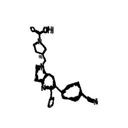 N#Cc1ccc(-c2cc3c(ccn3C[C@H]3CCN(C(=O)O)C3)nc2Cl)cc1